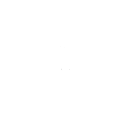 CC(=O)N(C)c1ccc(CCl)cc1